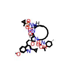 COc1ccc2c3c(c(C4CC4)nc2c1)O[C@]1(CC3)C[C@H]2C(=O)N[C@]3(C(=O)NS(=O)(=O)C4(C)CC4)C[C@H]3/C=C\CCCCC[C@H](N(C(=O)O)[C@@H]3C[C@H](C)CC[C@H]3C(C)C)C(=O)N2C1